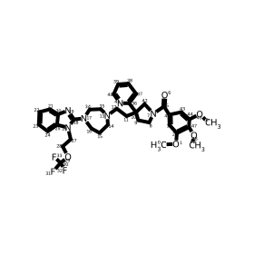 COc1cc(C(=O)N2CCC(CCN3CCCN(c4nc5ccccc5n4CCOC(F)(F)F)CC3)(c3ccccn3)C2)cc(OC)c1OC